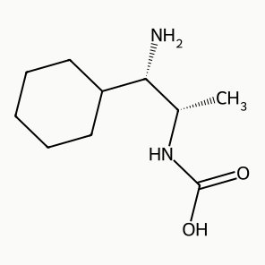 C[C@H](NC(=O)O)[C@@H](N)C1CCCCC1